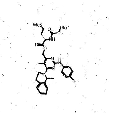 CSCC[C@H](NC(=O)OC(C)(C)C)C(=O)OCc1nc(Nc2ccc(F)cc2)nc(N2CCc3ccccc3C2C)c1C